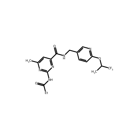 CCC(=O)Nc1nc(C)cc(C(=O)NCc2ccc(OC(C)C(F)(F)F)nc2)n1